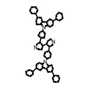 c1ccc(-c2ccc3c(c2)c2cc(-c4ccccc4)ccc2n3-c2ccc(-c3cnccc3-c3ccncc3-c3ccc(-n4c5ccc(-c6ccccc6)cc5c5cc(-c6ccccc6)ccc54)cc3)cc2)cc1